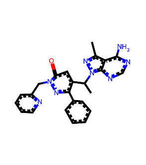 Cc1nn(C(C)c2cc(=O)n(Cc3ccccn3)nc2-c2ccccc2)c2ncnc(N)c12